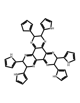 C1=CCC(C2N=c3c(c4c(c5c3=NC(c3ccc[nH]3)C(c3ccc[nH]3)N=5)=NC(c3ccc[nH]3)C(c3ccc[nH]3)N=4)=NC2c2ccc[nH]2)=C1